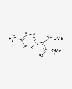 CON=C(C(=O)OC)c1ccc(C)cc1